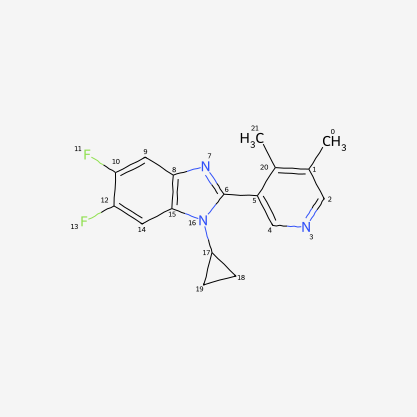 Cc1cncc(-c2nc3cc(F)c(F)cc3n2C2CC2)c1C